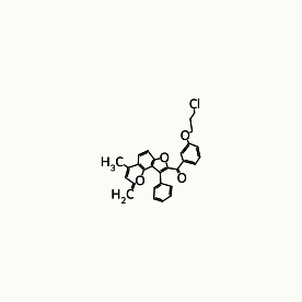 C=C1C=C(C)c2ccc3oc(C(=O)c4cccc(OCCCCl)c4)c(-c4ccccc4)c3c2O1